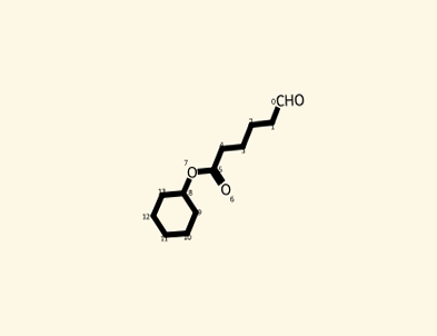 O=CCCCCC(=O)OC1CCCCC1